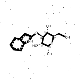 OC[C@H]1O[C@H](O)[C@H](O)[C@@H](Oc2cc3ccccc3[nH]2)[C@@H]1O